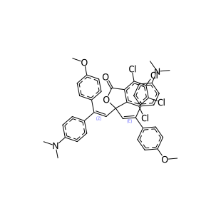 COc1ccc(/C(=C\C2(/C=C(/c3ccc(OC)cc3)c3ccc(N(C)C)cc3)OC(=O)c3c(Cl)c(Cl)c(Cl)c(Cl)c32)c2ccc(N(C)C)cc2)cc1